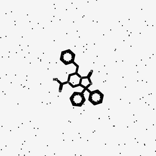 O=C(O)N1CC(Cc2ccccc2)N2C(=O)OC(c3ccccc3)(c3ccccc3)C2C1